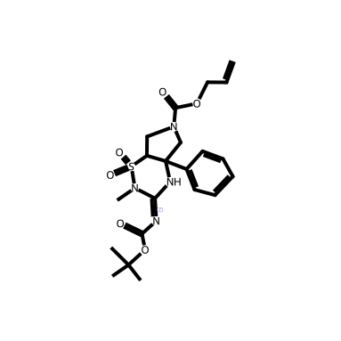 C=CCOC(=O)N1CC2C(c3ccccc3)(C1)N/C(=N/C(=O)OC(C)(C)C)N(C)S2(=O)=O